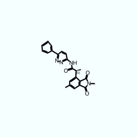 Cc1cc2c(c([C@H](C)C(=O)Nc3ccc(-c4ccccc4)nn3)c1)C(=O)N(C)C2=O